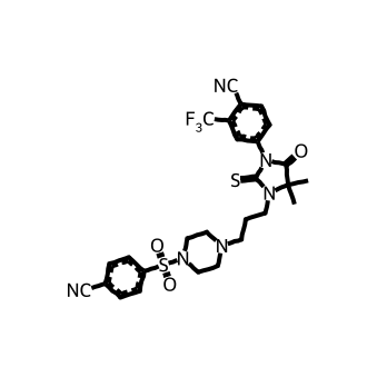 CC1(C)C(=O)N(c2ccc(C#N)c(C(F)(F)F)c2)C(=S)N1CCCN1CCN(S(=O)(=O)c2ccc(C#N)cc2)CC1